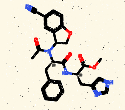 COC(=O)[C@H](Cc1c[nH]cn1)NC(=O)[C@H](Cc1ccccc1)N(C(C)=O)C1COc2ccc(C#N)cc21